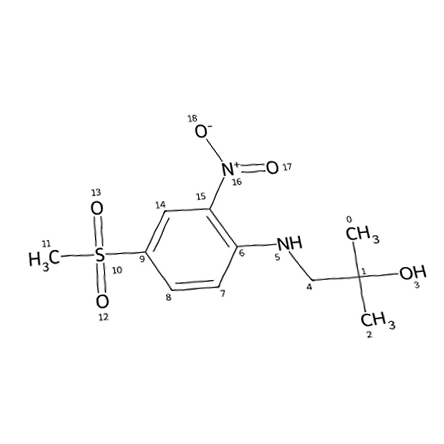 CC(C)(O)CNc1ccc(S(C)(=O)=O)cc1[N+](=O)[O-]